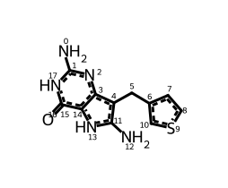 Nc1nc2c(Cc3ccsc3)c(N)[nH]c2c(=O)[nH]1